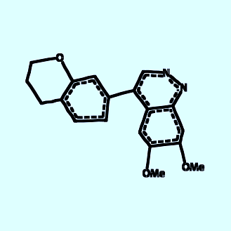 COc1cc2nncc(-c3ccc4c(c3)OCCC4)c2cc1OC